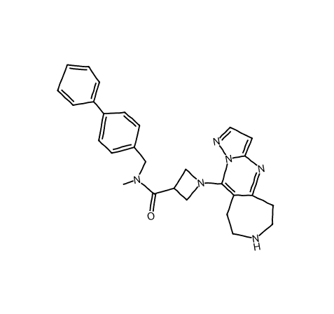 CN(Cc1ccc(-c2ccccc2)cc1)C(=O)C1CN(c2c3c(nc4ccnn24)CCNCC3)C1